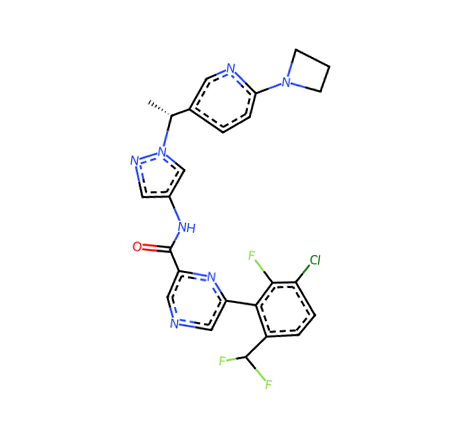 C[C@H](c1ccc(N2CCC2)nc1)n1cc(NC(=O)c2cncc(-c3c(C(F)F)ccc(Cl)c3F)n2)cn1